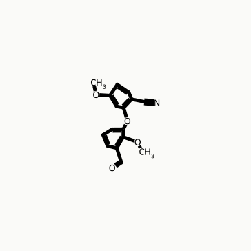 COc1ccc(C#N)c(Oc2cccc(C=O)c2OC)c1